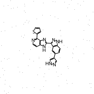 c1csc(-c2nccc3[nH]c(-c4n[nH]c5ccc(-c6cn[nH]c6)cc45)nc23)c1